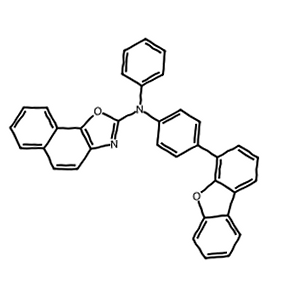 c1ccc(N(c2ccc(-c3cccc4c3oc3ccccc34)cc2)c2nc3ccc4ccccc4c3o2)cc1